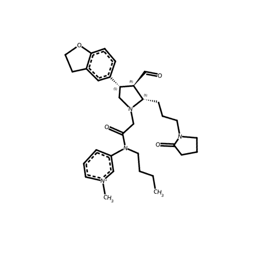 CCCCN(C(=O)CN1C[C@H](c2ccc3c(c2)CCO3)[C@@H](C=O)[C@@H]1CCCN1CCCC1=O)c1ccc[n+](C)c1